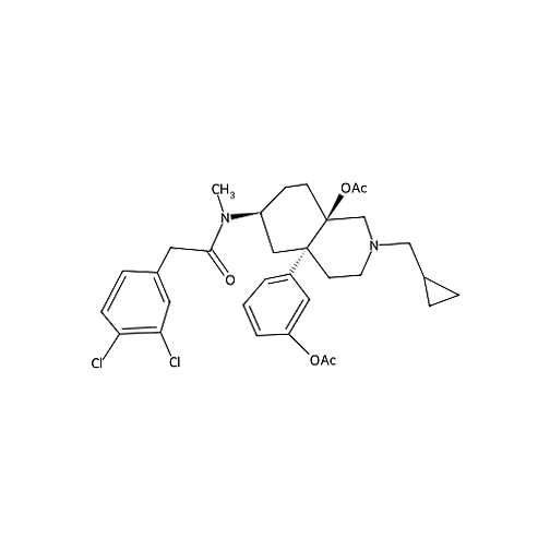 CC(=O)Oc1cccc([C@@]23CCN(CC4CC4)C[C@@]2(OC(C)=O)CC[C@H](N(C)C(=O)Cc2ccc(Cl)c(Cl)c2)C3)c1